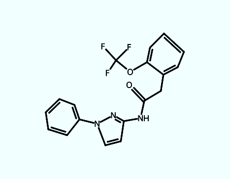 O=C(Cc1ccccc1OC(F)(F)F)Nc1ccn(-c2ccccc2)n1